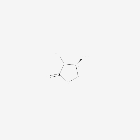 CCC1C(=O)NC[C@@H]1C(=O)O